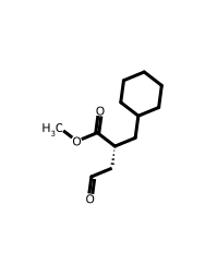 COC(=O)[C@@H](CC=O)CC1CCCCC1